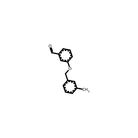 Cc1cccc(COc2cccc(C=O)c2)c1